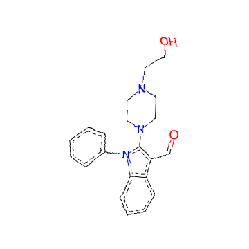 O=Cc1c(N2CCN(CCO)CC2)n(-c2ccccc2)c2ccccc12